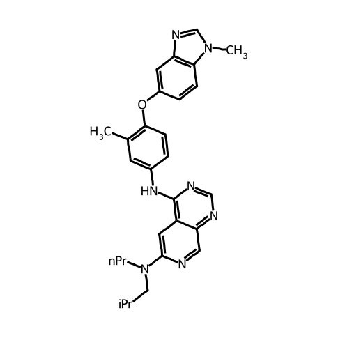 CCCN(CC(C)C)c1cc2c(Nc3ccc(Oc4ccc5c(c4)ncn5C)c(C)c3)ncnc2cn1